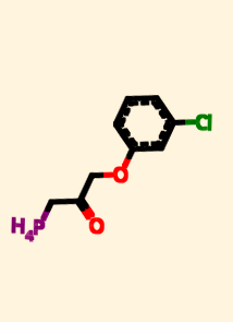 O=C(C[PH4])COc1cccc(Cl)c1